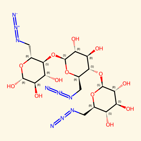 [N-]=[N+]=NC[C@H]1O[C@@H](O[C@H]2[C@H](O)[C@@H](O)[C@H](O[C@H]3[C@H](O)[C@@H](O)[C@H](O)O[C@@H]3CN=[N+]=[N-])O[C@@H]2CN=[N+]=[N-])[C@H](O)[C@@H](O)[C@@H]1O